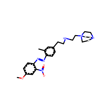 COc1ccc(N=Nc2ccc(CCNCC[N+]34CCN(CC3)CC4)cc2C)c([N+](=O)[O-])c1